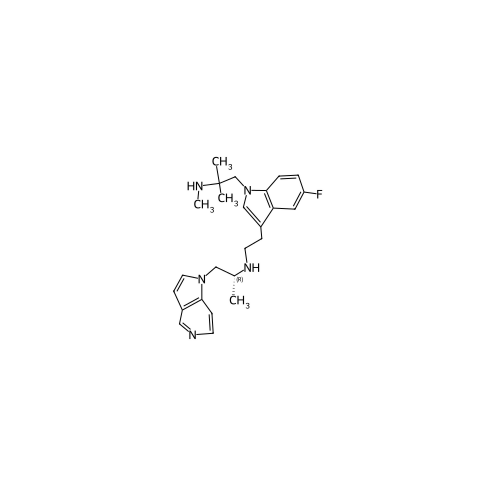 CNC(C)(C)Cn1cc(CCN[C@H](C)Cn2ccc3cnccc32)c2cc(F)ccc21